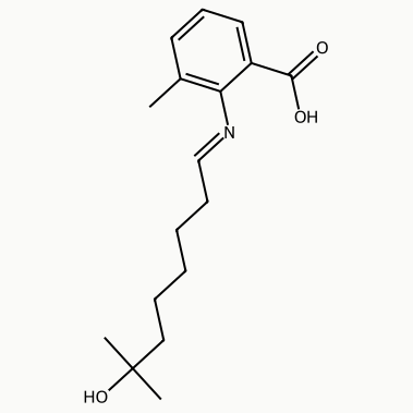 Cc1cccc(C(=O)O)c1N=CCCCCCC(C)(C)O